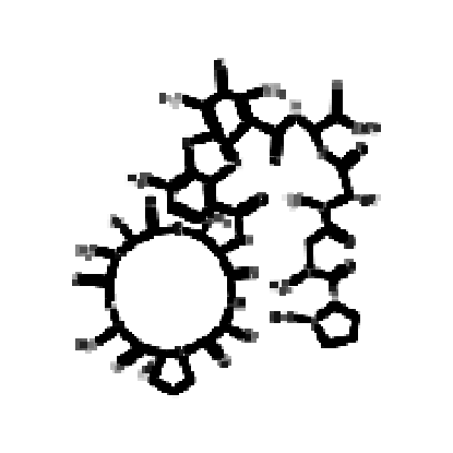 CNC(=O)C(NC(=O)c1c2nc3c(C(=O)NC4C(=O)NC(C(C)C)C(=O)N5CCC[C@H]5C(=O)N(C)CC(=O)N(C)[C@@H](C(C)C)C(=O)O[C@@H]4C)ccc(C)c3oc-2c(C)c(=O)c1N)OC(=O)[C@H](C(C)C)N(C)C(=O)CN(C)C(=O)[C@@H]1CCCN1C=O